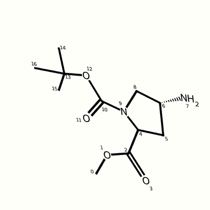 COC(=O)C1C[C@@H](N)CN1C(=O)OC(C)(C)C